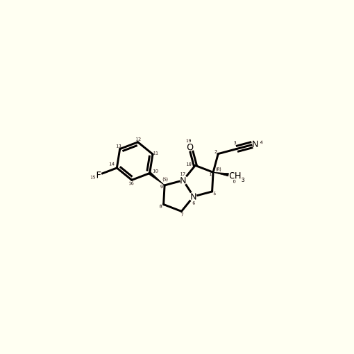 C[C@@]1(CC#N)CN2CC[C@@H](c3cccc(F)c3)N2C1=O